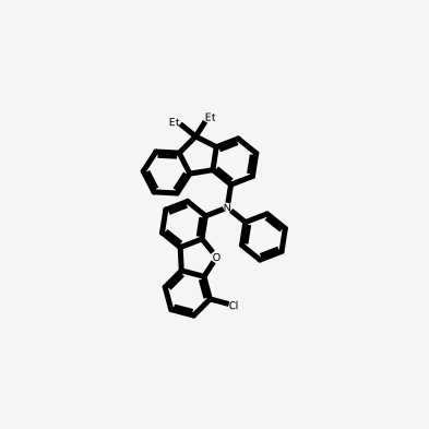 CCC1(CC)c2ccccc2-c2c(N(c3ccccc3)c3cccc4c3oc3c(Cl)cccc34)cccc21